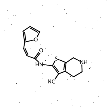 N#Cc1c(NC(=O)/C=C\c2ccco2)sc2c1CCNC2